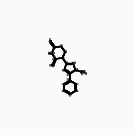 Cn1nc(C2CCC(=O)NC2=O)cc1-c1ccccc1